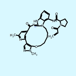 C=CC(=O)N1CCCC1C(=O)Nc1cccc2c1N1CCCCCOc3c(cnn3C)-c3cc(cc(C)n3)C(=O)/N=C/1N2